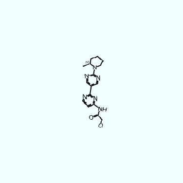 C[C@H]1CCCCN1c1ncc(-c2nccc(NC(=O)CCl)n2)cn1